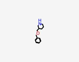 c1ccc(COCC2CCCNC2)cc1